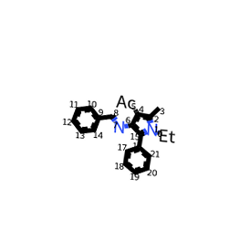 CCn1c(C)c(C(C)=O)c(N=Cc2ccccc2)c1-c1ccccc1